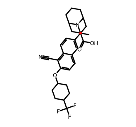 CC(c1ccc2c(C#N)c(OC3CCC(C(F)(F)F)CC3)ccc2c1)N1C2CCCC1CC(C(=O)O)C2